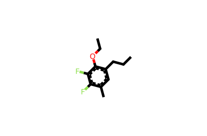 CCCc1cc(C)c(F)c(F)c1OCC